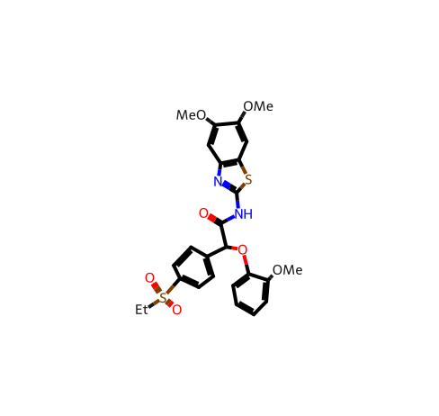 CCS(=O)(=O)c1ccc(C(Oc2ccccc2OC)C(=O)Nc2nc3cc(OC)c(OC)cc3s2)cc1